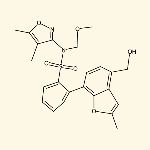 COCN(c1noc(C)c1C)S(=O)(=O)c1ccccc1-c1ccc(CO)c2cc(C)oc12